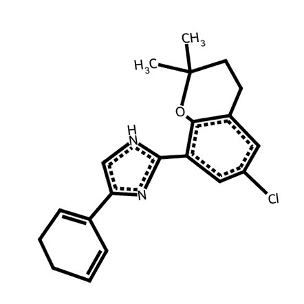 CC1(C)CCc2cc(Cl)cc(-c3nc(C4=CCCC=C4)c[nH]3)c2O1